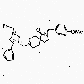 COc1ccc(CN2CCC3(CCN(C[C@H]4CN(CC(C)C)C[C@@H]4c4ccccc4)CC3)C2=O)cc1